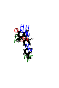 C[C@H]1CN(c2ccc(C(F)(F)F)cn2)CC[C@H]1c1n[nH]c2c1[C@](O)(C(F)(F)F)CC(=O)N2